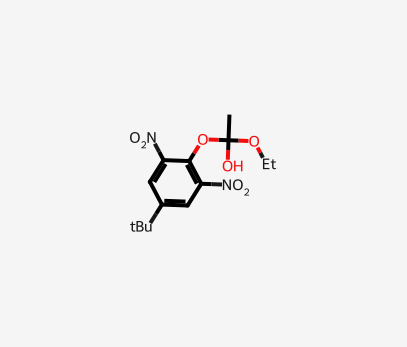 CCOC(C)(O)Oc1c([N+](=O)[O-])cc(C(C)(C)C)cc1[N+](=O)[O-]